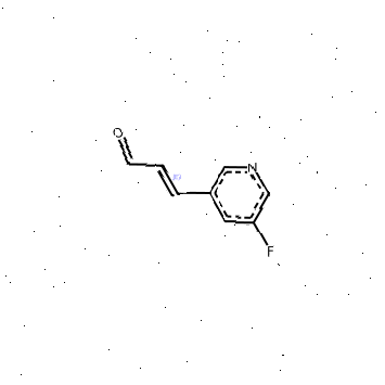 O=C/C=C/c1cncc(F)c1